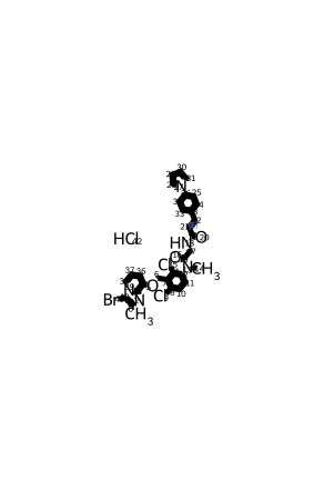 Cc1nc2c(OCc3c(Cl)ccc(N(C)C(=O)CNC(=O)/C=C/c4ccc(-n5cccc5)cc4)c3Cl)cccn2c1Br.Cl